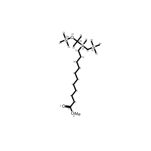 COC(=O)CCCCCCCCCC[Si](C)(C[Si](C)(C)C)C(C)(C)O[Si](C)(C)C